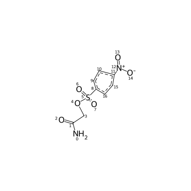 NC(=O)COS(=O)(=O)c1ccc([N+](=O)[O-])cc1